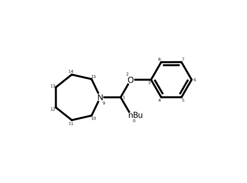 CCCCC(Oc1ccccc1)N1CCCCCC1